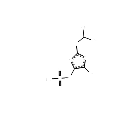 CC(C)Sc1nc(OS(C)(=O)=O)c(Br)s1